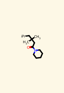 CC(C)CC(C)(C)CC(=O)N1CCCCC1